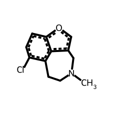 CN1CCc2c(Cl)ccc3occ(c23)C1